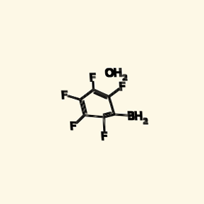 Bc1c(F)c(F)c(F)c(F)c1F.O